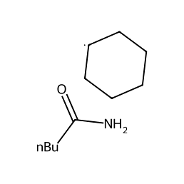 CCCCC(N)=O.[CH]1CCCCC1